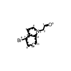 O=CCn1ccc2c(Br)cccc21